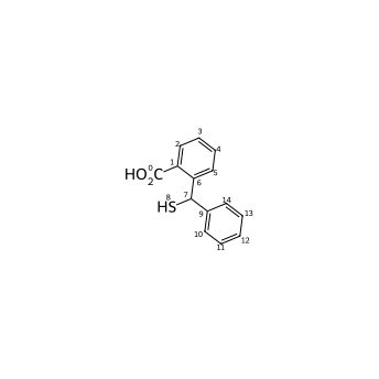 O=C(O)c1ccccc1C(S)c1ccccc1